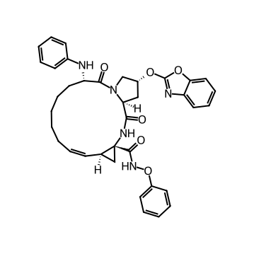 O=C1N[C@]2(C(=O)NOc3ccccc3)C[C@H]2/C=C\CCCCC[C@H](Nc2ccccc2)C(=O)N2C[C@H](Oc3nc4ccccc4o3)C[C@@H]12